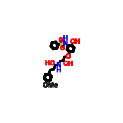 COc1ccc(CC[C@H](O)NCC(O)COc2ccc(O)c(NS(=O)(=O)c3ccccc3)c2)cc1